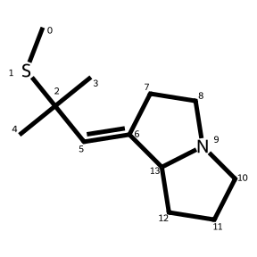 CSC(C)(C)/C=C1\CCN2CCCC12